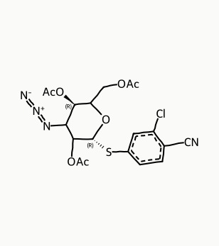 CC(=O)OCC1O[C@H](Sc2ccc(C#N)c(Cl)c2)C(OC(C)=O)C(N=[N+]=[N-])[C@H]1OC(C)=O